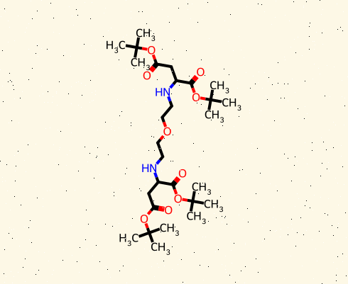 CC(C)(C)OC(=O)CC(NCCOCCNC(CC(=O)OC(C)(C)C)C(=O)OC(C)(C)C)C(=O)OC(C)(C)C